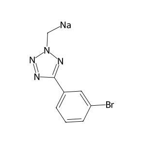 [Na][CH2]n1nnc(-c2cccc(Br)c2)n1